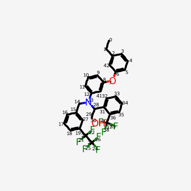 CCc1cccc(Oc2cccc(N(Cc3cccc(C(F)(F)C(F)(F)F)c3)C(CO)c3ccccc3C(F)(F)F)c2)c1